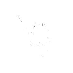 CC[C@H]1OC(=O)[C@H](C)C(=O)[C@H](C)[C@@H](O[C@@H]2OC(C)CC(N)C2O)[C@](C)(OC)C[C@@H](C)CN[C@H](CCO)[C@H]2N(CCCCN=[N+]=[N-])C(=O)O[C@]12C